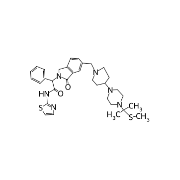 CSC(C)(C)N1CCN(C2CCN(Cc3ccc4c(c3)C(=O)N(C(C(=O)Nc3nccs3)c3ccccc3)C4)CC2)CC1